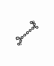 CC1=CC(N(c2ccc(-c3ccc(-c4ccc(-c5ccc(-c6ccc(N(c7ccccc7)c7ccc8oc9ccccc9c8c7)cc6)cc5)cc4)cc3)cc2)c2ccc3sc4ccccc4c3c2)=CC=CC1